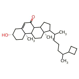 CC(CCCC(C)C1CCC2C3C(=O)C=C4C[C@@H](O)CC[C@]4(C)C3CC[C@]12C)C1CCC1